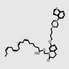 CC/C=C\C/C=C\C/C=C\C/C=C\CCCCC(O)OCN1C(=O)CCc2ccc(OCCCCN3CCN(c4cccc5sccc45)CC3)cc21